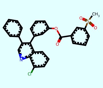 CS(=O)(=O)c1cccc(C(=O)Oc2cccc(-c3c(-c4ccccc4)cnc4c(Cl)cccc34)c2)c1